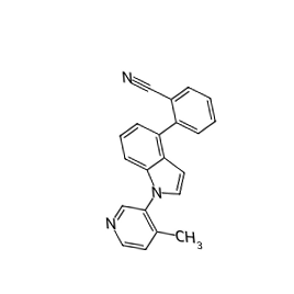 Cc1ccncc1-n1ccc2c(-c3ccccc3C#N)cccc21